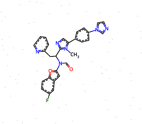 Cn1c(-c2ccc(-n3ccnc3)cc2)cnc1C(Cc1ccccn1)N(C=O)c1cc2cc(F)ccc2o1